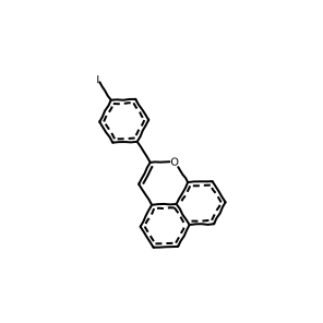 Ic1ccc(C2=Cc3cccc4cccc(c34)O2)cc1